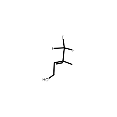 OC/C=C(\I)C(F)(F)F